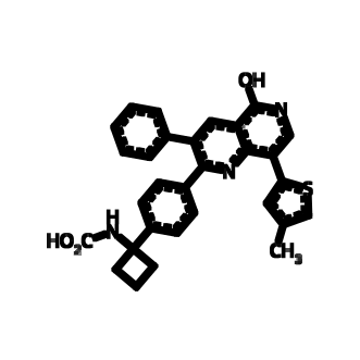 Cc1csc(-c2cnc(O)c3cc(-c4ccccc4)c(-c4ccc(C5(NC(=O)O)CCC5)cc4)nc23)c1